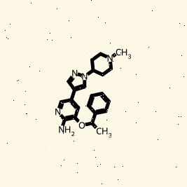 CC(Oc1cc(-c2cnn(C3CCN(C)CC3)c2)cnc1N)c1ccccc1